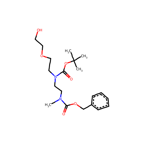 CN(CCN(CCOCCO)C(=O)OC(C)(C)C)C(=O)OCc1ccccc1